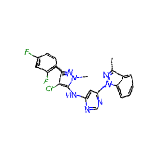 Cc1nn(-c2cc(Nc3c(Cl)c(-c4ccc(F)cc4F)nn3C)ncn2)c2ccccc12